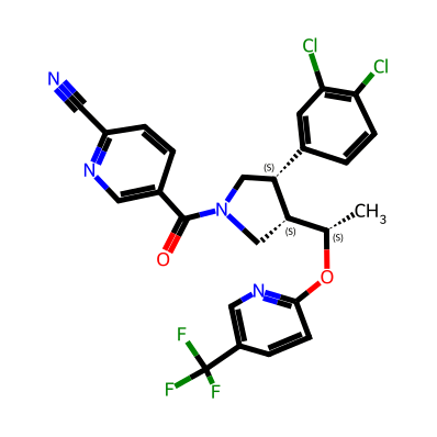 C[C@H](Oc1ccc(C(F)(F)F)cn1)[C@@H]1CN(C(=O)c2ccc(C#N)nc2)C[C@@H]1c1ccc(Cl)c(Cl)c1